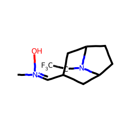 C[N+](O)=CC1CC2CCC(C1)N2CC(F)(F)F